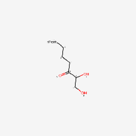 CCCCCCCCC(=O)C(O)CO